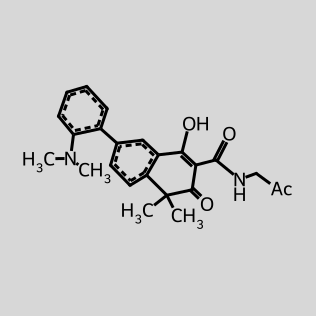 CC(=O)CNC(=O)C1=C(O)c2cc(-c3ccccc3N(C)C)ccc2C(C)(C)C1=O